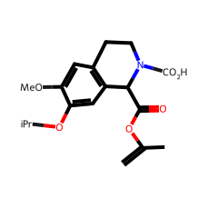 C=C(C)OC(=O)C1c2cc(OC(C)C)c(OC)cc2CCN1C(=O)O